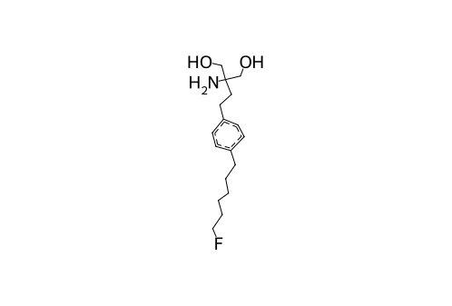 NC(CO)(CO)CCc1ccc(CCCCCCF)cc1